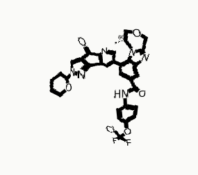 C[C@@H]1COCc2nc3cc(C(=O)Nc4ccc(OC(F)(F)Cl)cc4)cc(-c4cnc5c(c4)-c4nn(C6CCCCO6)cc4C5=O)c3n21